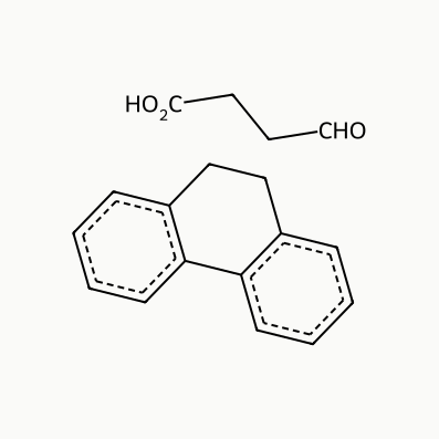 O=CCCC(=O)O.c1ccc2c(c1)CCc1ccccc1-2